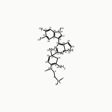 CN(C)CCN(C)C1=C(N)CC(N)(c2nc(-c3cn(C)c4cc(F)c(F)cc34)c3cc[nH]c3n2)C=C1